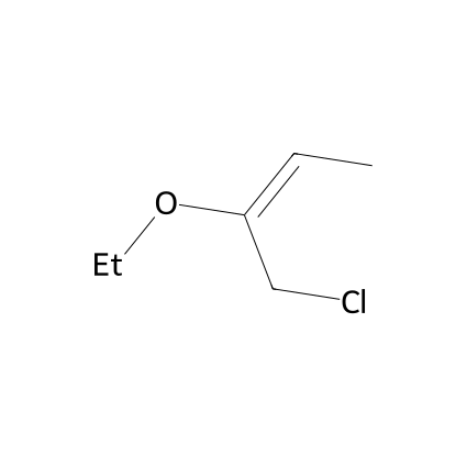 [CH2]COC(=CC)CCl